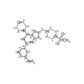 CS(=O)(=O)N1CCN(Cc2cc3nc(-c4cncc(N)c4)nc(N4CCOCC4)c3s2)CC1